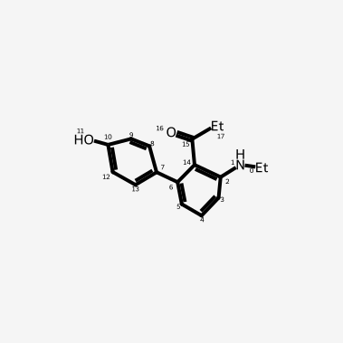 CCNc1cccc(-c2ccc(O)cc2)c1C(=O)CC